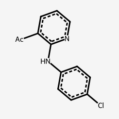 CC(=O)c1cccnc1Nc1ccc(Cl)cc1